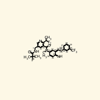 CC(F)c1ncc(CNC(=O)C(C)(C)F)cc1C(=O)N(C)C1=C/C(=C/Nc2cccc(C(F)(F)F)c2)C(=N)C=C1